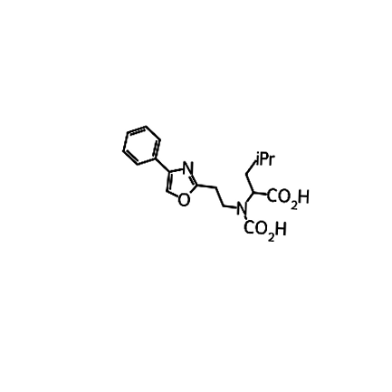 CC(C)CC(C(=O)O)N(CCc1nc(-c2ccccc2)co1)C(=O)O